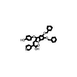 O=C(O)C(=Cc1sc2cc(OCc3ccccc3)c(OCc3ccccc3)cc2c1Oc1ccc(O)cc1)c1ccncc1